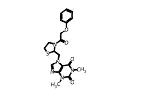 Cn1c(=O)c2c(ncn2CC2SCCN2C(=O)COc2ccccc2)n(C)c1=O